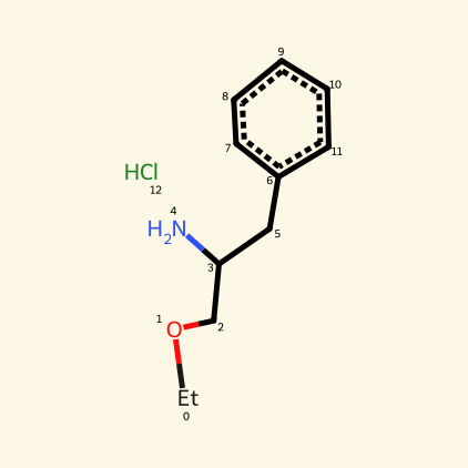 CCOCC(N)Cc1ccccc1.Cl